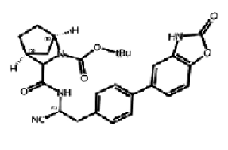 CC(C)(C)OC(=O)N1C(C(=O)N[C@H](C#N)Cc2ccc(-c3ccc4oc(=O)[nH]c4c3)cc2)[C@H]2CC[C@@H]1C2